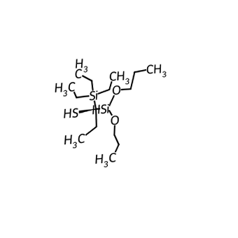 CCCO[SiH](OCCC)[C@](S)(CC)[Si](CC)(CC)CC